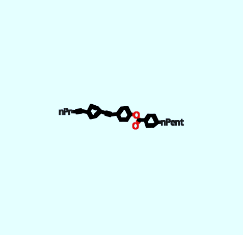 CCCC#Cc1ccc(C#Cc2ccc(OC(=O)c3ccc(CCCCC)cc3)cc2)cc1